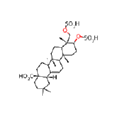 CC1(C)CC[C@]2(C(=O)O)CC[C@]3(C)C(=CCC4[C@@]5(C)CC[C@H](OS(=O)(=O)O)[C@@](C)(COS(=O)(=O)O)C5CC[C@]43C)[C@@H]2C1